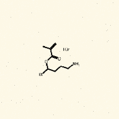 Br.C=C(C)C(=O)OC(CC)CCCN